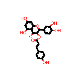 O=C(/C=C/c1ccc(O)cc1)Oc1c(-c2ccc(O)c(O)c2)oc2cc(O)cc(O)c2c1=O